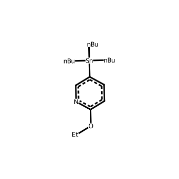 [CH2+]CC[CH2][Sn]([CH2]CCC)([CH2]CCC)[c]1ccc(OCC)nc1